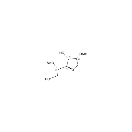 CO[C@@H](CO)[C@@H]1OC[C@@H](OC)[C@H]1O